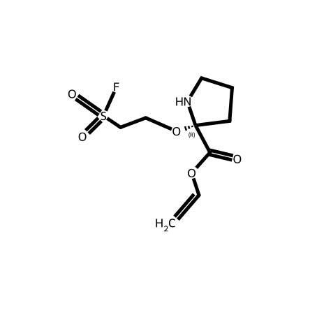 C=COC(=O)[C@]1(OCCS(=O)(=O)F)CCCN1